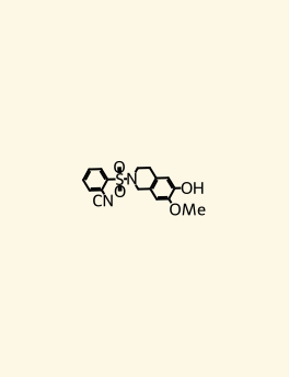 COc1cc2c(cc1O)CCN(S(=O)(=O)c1ccccc1C#N)C2